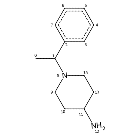 CC(c1ccccc1)N1CCC(N)CC1